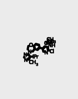 Cc1ncnc(N2CCOc3ccc(-c4cnc(Cl)c(NS(C)(=O)=O)c4)cc3C2)c1C(C)C